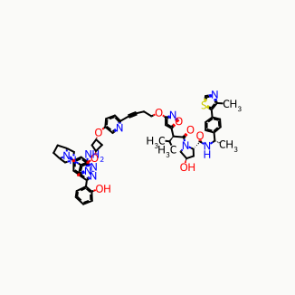 Cc1ncsc1-c1ccc([C@H](C)NC(=O)[C@@H]2C[C@@H](O)CN2C(=O)[C@H](c2cc(OCCC#Cc3ccc(O[C@H]4C[C@H](Oc5cc(N6C7CCC6CN(c6cc(-c8ccccc8O)nnc6N)C7)ccn5)C4)cn3)no2)C(C)C)cc1